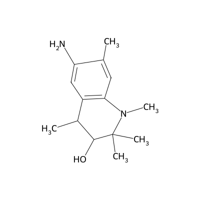 Cc1cc2c(cc1N)C(C)C(O)C(C)(C)N2C